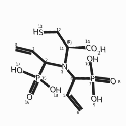 C=CC(N(C(C=C)P(=O)(O)O)[C@@H](CS)C(=O)O)P(=O)(O)O